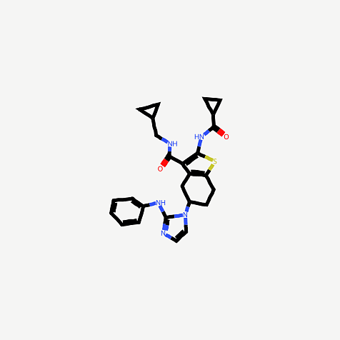 O=C(NCC1CC1)c1c(NC(=O)C2CC2)sc2c1CC(n1ccnc1Nc1ccccc1)CC2